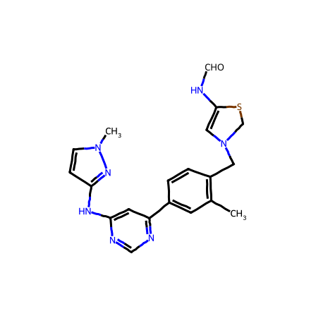 Cc1cc(-c2cc(Nc3ccn(C)n3)ncn2)ccc1CN1C=C(NC=O)SC1